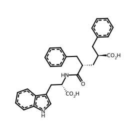 O=C(O)[C@H](Cc1ccccc1)C[C@@H](Cc1ccccc1)C(=O)N[C@@H](Cc1c[nH]c2ccccc12)C(=O)O